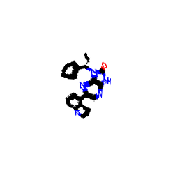 CC[C@@H](c1ccccc1)n1c(=O)[nH]c2ncc(-c3cccc4ncccc34)nc21